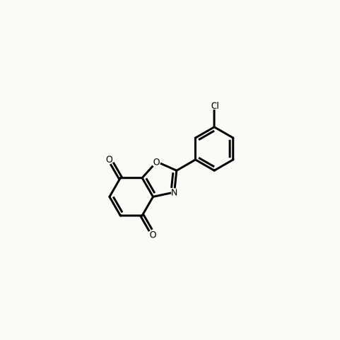 O=C1C=CC(=O)c2oc(-c3cccc(Cl)c3)nc21